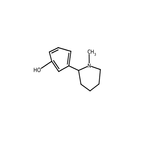 CN1CCCCC1c1cccc(O)c1